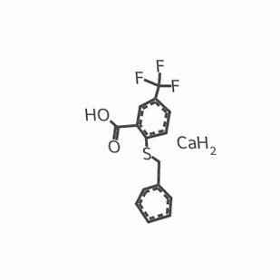 O=C(O)c1cc(C(F)(F)F)ccc1SCc1ccccc1.[CaH2]